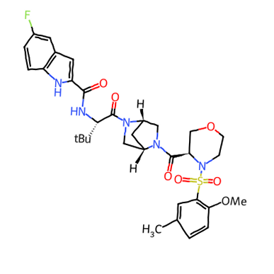 COc1ccc(C)cc1S(=O)(=O)N1CCOC[C@@H]1C(=O)N1C[C@@H]2C[C@H]1CN2C(=O)[C@@H](NC(=O)c1cc2cc(F)ccc2[nH]1)C(C)(C)C